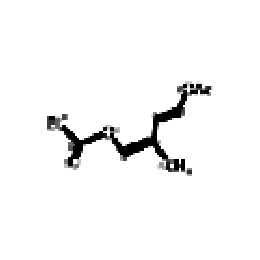 CCC(=O)OC=C(C)C=COC(C)=O